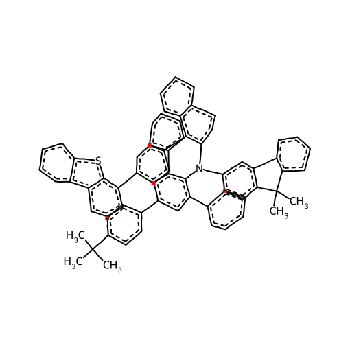 CC(C)(C)c1ccc(-c2cc(-c3ccccc3)c(N(c3ccc4c(c3)-c3ccccc3C4(C)C)c3ccc4ccccc4c3-c3ccc(-c4cccc5c4sc4ccccc45)cc3)c(-c3ccccc3)c2)cc1